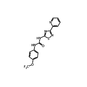 O=C(Nc1ccc(OC(F)(F)F)cc1)Nc1nc(-c2ccccn2)ns1